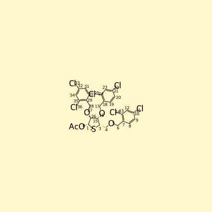 CC(=O)O[C@H]1S[C@@H](COCc2ccc(Cl)cc2Cl)[C@@H](OCc2ccc(Cl)cc2Cl)[C@@H]1OCc1ccc(Cl)cc1Cl